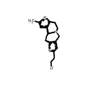 Cc1cc2c(s1)CCN1Cc3cc(CCCl)sc3CC21